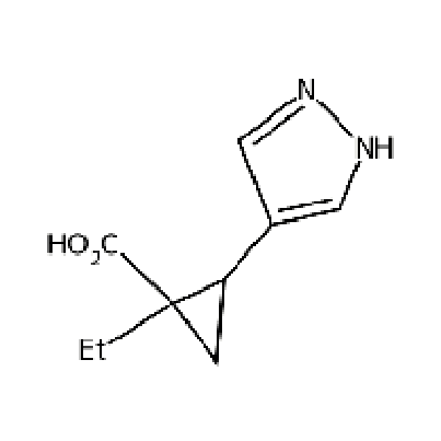 CCC1(C(=O)O)CC1c1cn[nH]c1